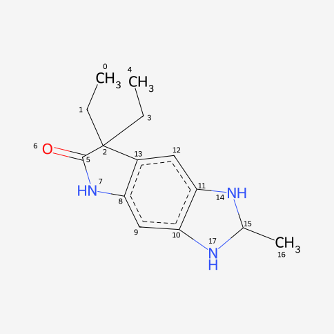 CCC1(CC)C(=O)Nc2cc3c(cc21)NC(C)N3